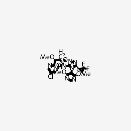 COc1ncnc(OC)c1-n1c(NS(=O)(=O)C(C)C(OC)c2ncc(Cl)cn2)nnc1[C@@H]1CC1(F)F